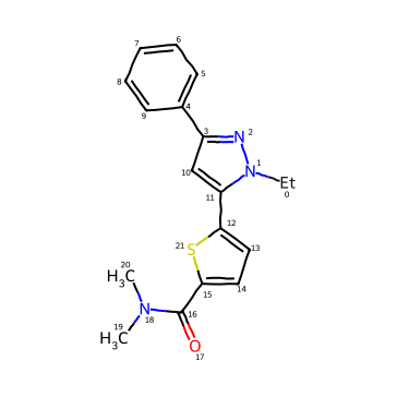 CCn1nc(-c2ccccc2)cc1-c1ccc(C(=O)N(C)C)s1